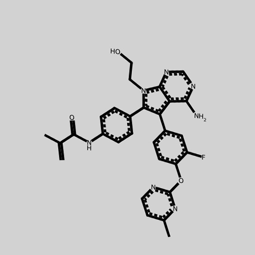 C=C(C)C(=O)Nc1ccc(-c2c(-c3ccc(Oc4nccc(C)n4)c(F)c3)c3c(N)ncnc3n2CCO)cc1